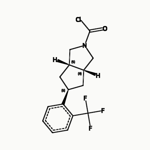 O=C(Cl)N1C[C@H]2C[C@H](c3ccccc3C(F)(F)F)C[C@H]2C1